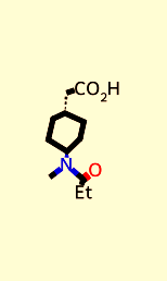 CCC(=O)N(C)[C@H]1CC[C@H](CC(=O)O)CC1